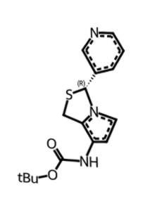 CC(C)(C)OC(=O)Nc1ccn2c1CS[C@@H]2c1cccnc1